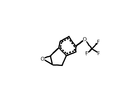 FC(F)(F)Oc1ccc2c(c1)CC1OC21